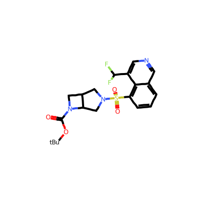 CC(C)(C)OC(=O)N1CC2CN(S(=O)(=O)c3cccc4cncc(C(F)F)c34)CC21